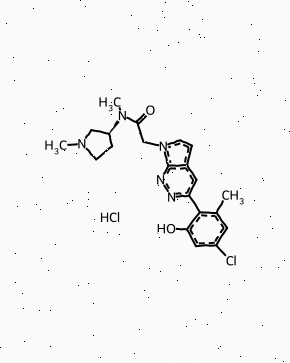 Cc1cc(Cl)cc(O)c1-c1cc2ccn(CC(=O)N(C)[C@H]3CCN(C)C3)c2nn1.Cl